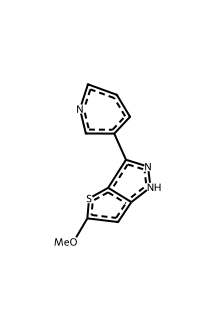 COc1cc2[nH]nc(-c3cccnc3)c2s1